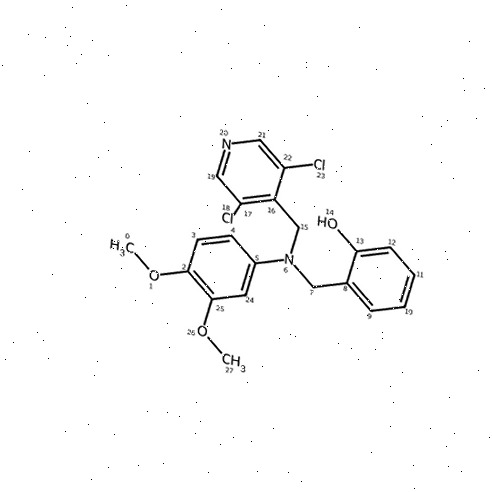 COc1ccc(N(Cc2ccccc2O)Cc2c(Cl)cncc2Cl)cc1OC